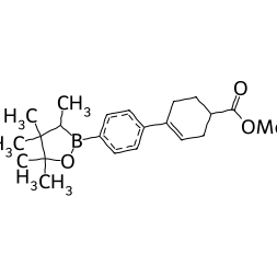 COC(=O)C1CC=C(c2ccc(B3OC(C)(C)C(C)(C)C3C)cc2)CC1